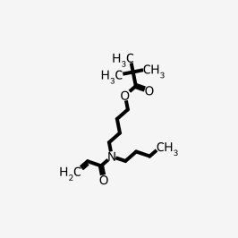 C=CC(=O)N(CCCC)CCCCOC(=O)C(C)(C)C